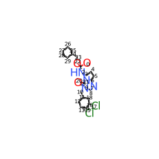 O=C(Nc1ccc2ncn(Cc3ccc(Cl)c(Cl)c3)c(=O)n12)OCc1ccccc1